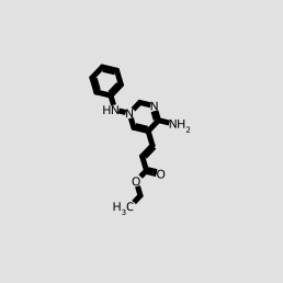 CCOC(=O)C=CC1=CN(Nc2ccccc2)CN=C1N